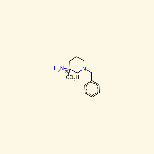 N[C@]1(C(=O)O)CCCN(Cc2ccccc2)C1